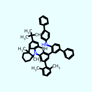 Cc1cccc(C)c1-c1cc(-c2cc(-c3ccccc3)ccc2Nc2ccc(-c3ccccc3)cc2)c2c(c1)N1c3c(cc(C(C)(C)C)cc3C3(C)CCCCC13C)B2